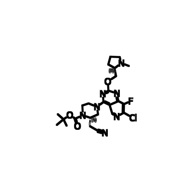 CN1CCC[C@@H]1COc1nc(N2CCN(C(=O)OC(C)(C)C)[C@@H](CC#N)C2)c2cnc(Cl)c(F)c2n1